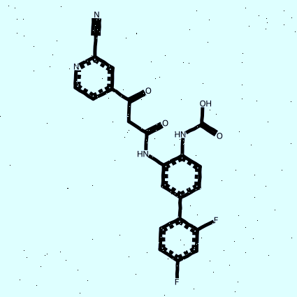 N#Cc1cc(C(=O)CC(=O)Nc2cc(-c3ccc(F)cc3F)ccc2NC(=O)O)ccn1